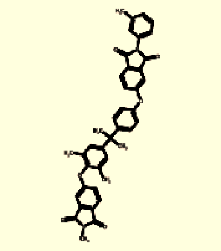 Cc1cccc(N2C(=O)c3ccc(Oc4ccc(C(C)(C)c5cc(C)c(Oc6ccc7c(c6)C(=O)N(C)C7=O)c(C)c5)cc4)cc3C2=O)c1